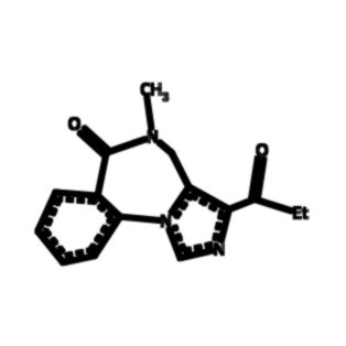 CCC(=O)c1ncn2c1CN(C)C(=O)c1ccccc1-2